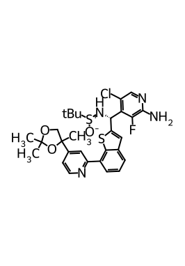 CC1(C)OCC(C)(c2ccnc(-c3cccc4cc([C@H](N[S+]([O-])C(C)(C)C)c5c(Cl)cnc(N)c5F)sc34)c2)O1